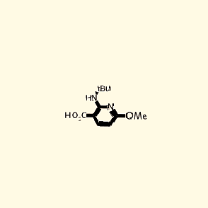 COc1ccc(C(=O)O)c(NC(C)(C)C)n1